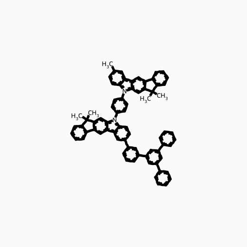 Cc1ccc2c(c1)c1cc3c(cc1n2-c1ccc(-n2c4ccc(-c5cccc(-c6cc(-c7ccccc7)cc(-c7ccccc7)c6)c5)cc4c4cc5c(cc42)C(C)(C)c2ccccc2-5)cc1)C(C)(C)c1ccccc1-3